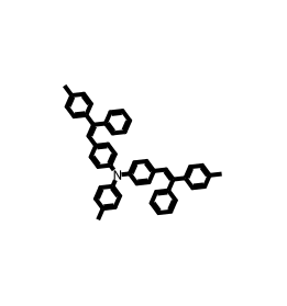 Cc1ccc(/C(=C/c2ccc(N(c3ccc(C)cc3)c3ccc(/C=C(\c4ccccc4)c4ccc(C)cc4)cc3)cc2)c2ccccc2)cc1